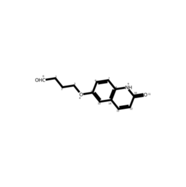 O=CCCCOc1ccc2[nH]c(=O)ccc2c1